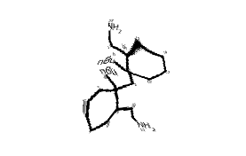 CCCCC1(CC2(CCCC)CCCCC2CN)CCCCC1CN